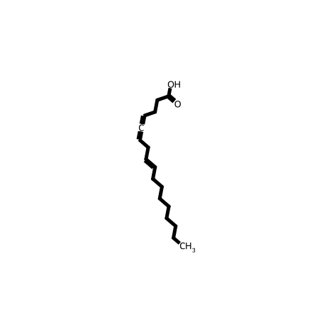 CCCCCCCCC=CCC=C=CCCC(=O)O